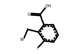 O=C(O)c1cccc(I)c1CBr